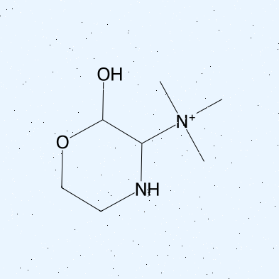 C[N+](C)(C)C1NCCOC1O